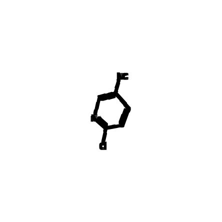 [C-]#[N+]c1ccc(Cl)nc1